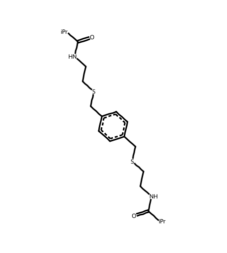 CC(C)C(=O)NCCSCc1ccc(CSCCNC(=O)C(C)C)cc1